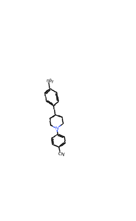 CCCc1ccc(C2CCN(c3ccc(C#N)cc3)CC2)cc1